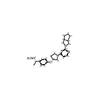 CC(=O)N[C@@H](C)c1ccc(O[C@@H]2CCN(c3ccnc(N4CC5CCCC5C4)n3)C2)cc1